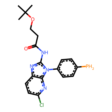 CC(C)(C)OCCC(=O)Nc1nc2ccc(Cl)nc2n1-c1ccc(P)cc1